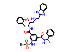 CCS(=O)(=O)Nc1cc(C(=O)N[C@@H](Cc2ccccc2)[C@H](O)CNCc2nc3ccccc3[nH]2)cc(C(=O)N[C@H](C)c2ccccc2)c1